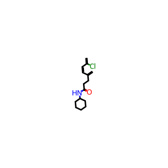 C=C(Cl)/C=C\C(=C)CCC(=O)NC1CCCCC1